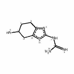 CCCC1CCc2nc(NC(=N)N)sc2C1